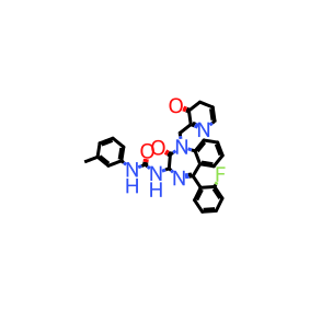 Cc1cccc(NC(=O)NC2N=C(c3ccccc3F)c3ccccc3N(CC3=NC=CCC3=O)C2=O)c1